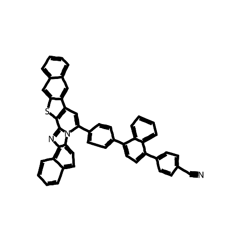 N#Cc1ccc(-c2ccc(-c3ccc(-c4cc5c6cc7ccccc7cc6sc5c5nc6c7ccccc7ccc6n45)cc3)c3ccccc23)cc1